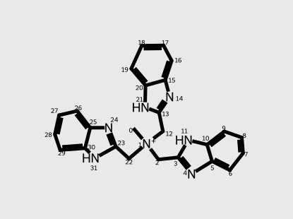 C[N+](Cc1nc2ccccc2[nH]1)(Cc1nc2ccccc2[nH]1)Cc1nc2ccccc2[nH]1